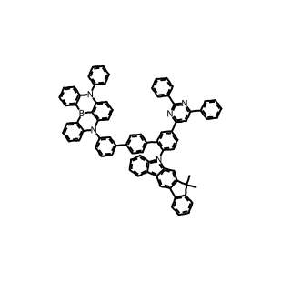 CC1(C)c2ccccc2-c2cc3c4ccccc4n(-c4ccc(-c5cc(-c6ccccc6)nc(-c6ccccc6)n5)cc4-c4ccc(-c5cccc(N6c7ccccc7B7c8ccccc8N(c8ccccc8)c8cccc6c87)c5)cc4)c3cc21